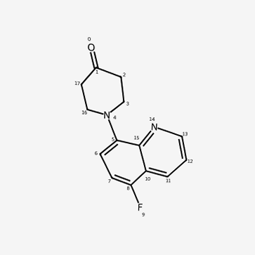 O=C1CCN(c2ccc(F)c3cccnc23)CC1